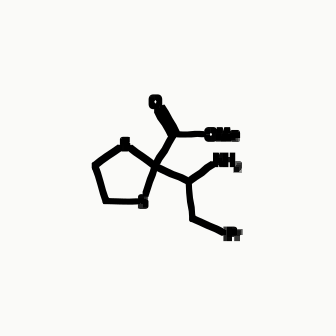 COC(=O)C1(C(N)CC(C)C)SCCS1